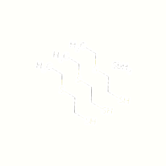 CCSCCS.CCSCCS.CCSCCS.[SbH3]